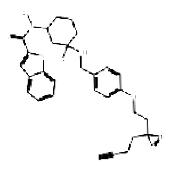 C#CCCC1(CCOc2ccc(CNC3(S)CCC[C@H](N(CC)C(=O)c4cc5ccccc5[nH]4)C3)cc2)N=N1